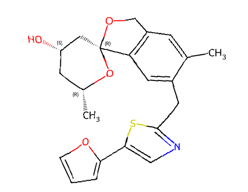 Cc1cc2c(cc1Cc1ncc(-c3ccco3)s1)[C@]1(C[C@@H](O)C[C@@H](C)O1)OC2